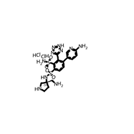 Cl.Cl.NC[C@@]1(NS(=O)(=O)c2ccc(-c3ccc(N)nc3)c(-c3nn[nH]n3)c2S(N)(=O)=O)CCNC1